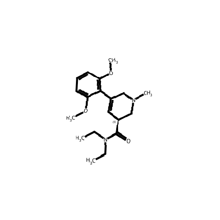 CCN(CC)C(=O)[C@H]1C=C(c2c(OC)cccc2OC)CN(C)C1